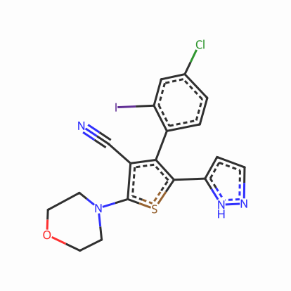 N#Cc1c(N2CCOCC2)sc(-c2ccn[nH]2)c1-c1ccc(Cl)cc1I